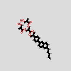 C=C(CO)C(=O)OCC(COC(=O)C(=C)CO)C1OCC(c2ccc(-c3ccc4cc(CCCCC)ccc4c3)cc2)CO1